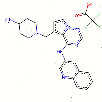 NC1CCN(Cc2ccn3ncnc(Nc4cnc5ccccc5c4)c23)CC1.O=C(O)C(F)(F)F